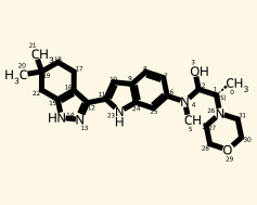 C[C@@H](C(O)N(C)c1ccc2cc(-c3n[nH]c4c3CCC(C)(C)C4)[nH]c2c1)N1CCOCC1